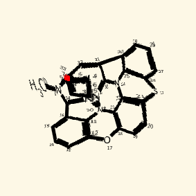 Cn1c2[n+](c3cnccc31)[N+]13c4c(cccc4-2)Oc2ccc4c(c21)-n1c2c(cccc2c2ccc[n+]3c21)S4